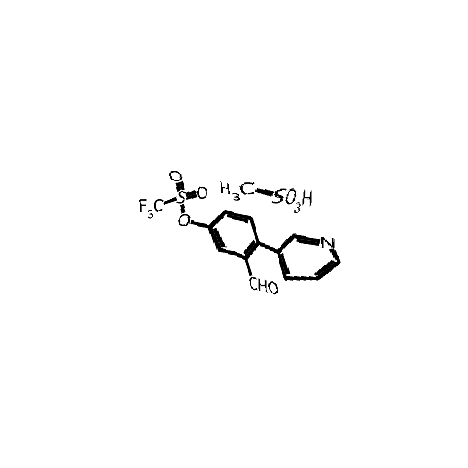 CS(=O)(=O)O.O=Cc1cc(OS(=O)(=O)C(F)(F)F)ccc1-c1cccnc1